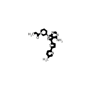 C=CC(=O)N1CCC[C@@H](n2nc(-c3ccc(-c4ccc(C)cn4)s3)c3c(N)ncnc32)C1